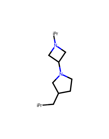 CC(C)CC1CCN(C2CN(C(C)C)C2)C1